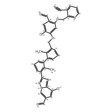 Cc1c(COc2cc(OCc3ncccc3C#N)c(C=O)cc2Cl)cccc1-c1cccc(-c2nc3c(Cl)cc(C=O)cn3n2)c1C